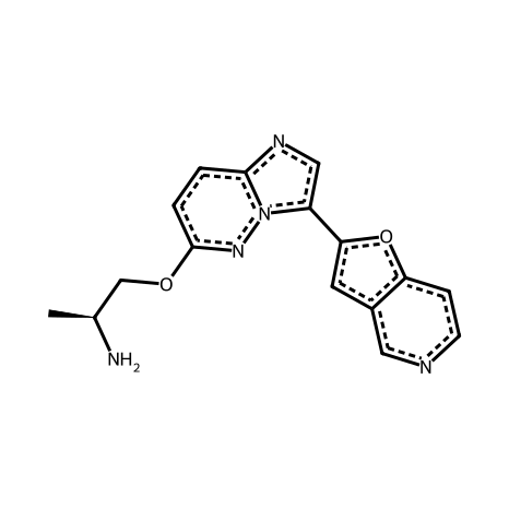 C[C@H](N)COc1ccc2ncc(-c3cc4cnccc4o3)n2n1